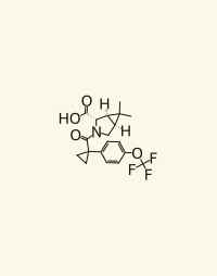 CC1(C)[C@@H]2[C@@H](C(=O)O)N(C(=O)C3(c4ccc(OC(F)(F)F)cc4)CC3)C[C@@H]21